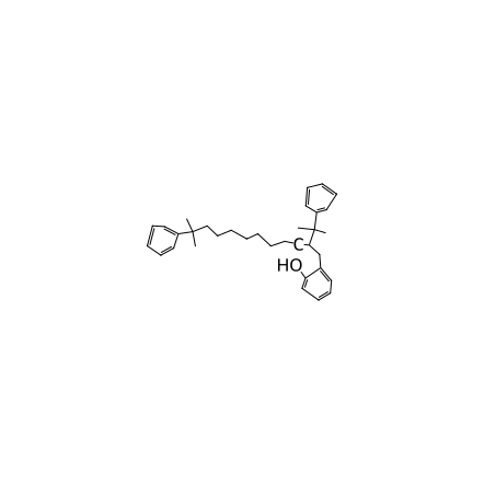 CC(C)(CCCCCCCCC(Cc1ccccc1O)C(C)(C)c1ccccc1)c1ccccc1